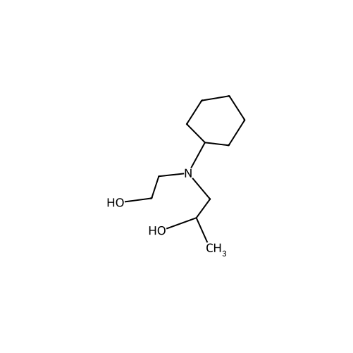 CC(O)CN(CCO)C1CCCCC1